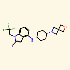 FC(F)(F)Cn1c(I)cc2c(N[C@H]3CC[C@@H](N4CC5(COC5)C4)CC3)cccc21